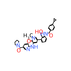 Cn1cc(-c2cccc(NC(=O)c3ccc(C4CC4)cc3)c2CO)cc(Nc2ccc(C(=O)N3CCCC3)cn2)c1=O